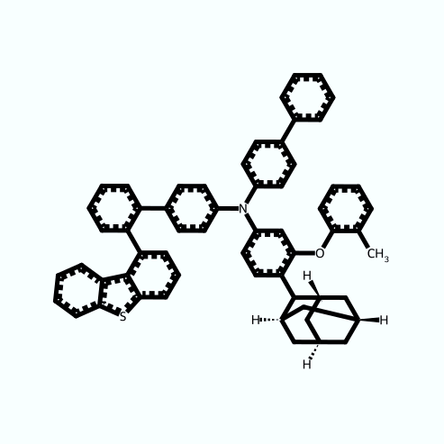 Cc1ccccc1Oc1cc(N(c2ccc(-c3ccccc3)cc2)c2ccc(-c3ccccc3-c3cccc4sc5ccccc5c34)cc2)ccc1C1[C@H]2C[C@H]3C[C@H](C[C@H]1C3)C2